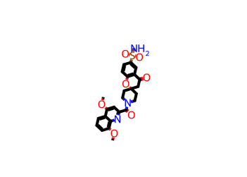 COc1cc(C(=O)N2CCC3(CC2)CC(=O)c2cc(S(N)(=O)=O)ccc2O3)nc2c(OC)cccc12